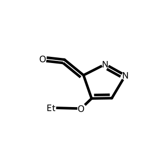 CCOC1=CN=NC1=C=O